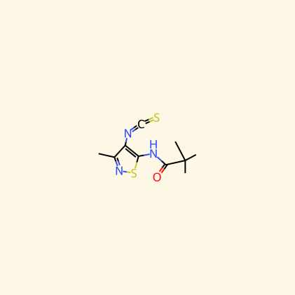 Cc1nsc(NC(=O)C(C)(C)C)c1N=C=S